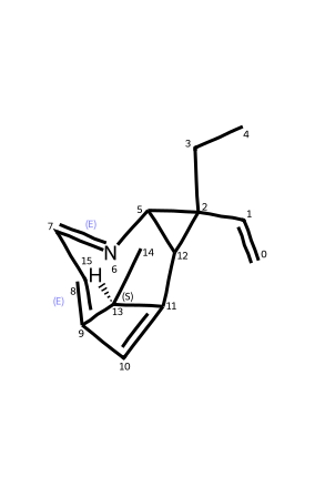 C=CC1(CC)C2/N=C/C=C3/C=C(C21)[C@@H]3C